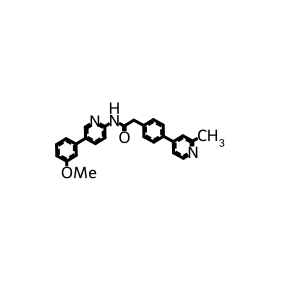 COc1cccc(-c2ccc(NC(=O)Cc3ccc(-c4ccnc(C)c4)cc3)nc2)c1